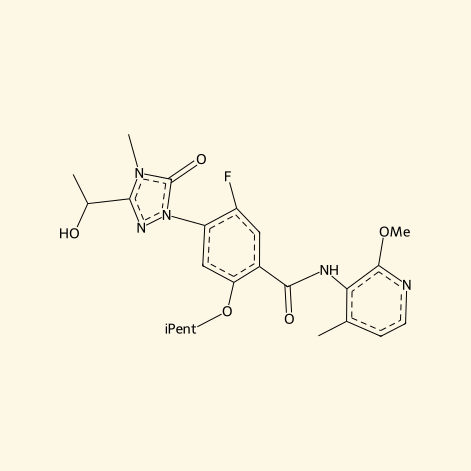 CCCC(C)Oc1cc(-n2nc(C(C)O)n(C)c2=O)c(F)cc1C(=O)Nc1c(C)ccnc1OC